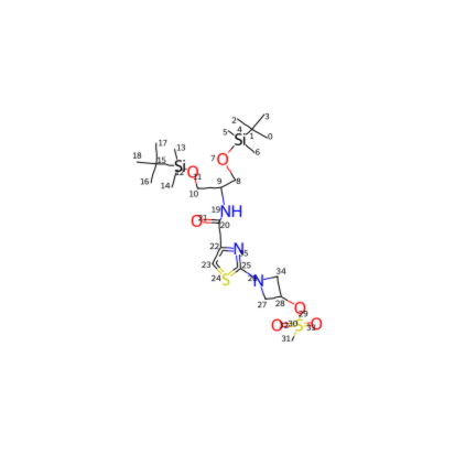 CC(C)(C)[Si](C)(C)OCC(CO[Si](C)(C)C(C)(C)C)NC(=O)c1csc(N2CC(OS(C)(=O)=O)C2)n1